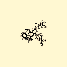 C=CC(=O)N1CCN(c2nc(NCCN(CC)CC)nc3c(=O)n(-c4c(O)cccc4F)c(C(F)(F)F)cc23)CC1